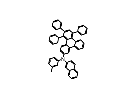 Cc1cccc(N(c2ccc3ccccc3c2)c2ccc3c(c2)c2ccccc2c2c(-c4ccccc4)cc(-c4ccccc4)c(C4C=CC=CC4)c32)c1